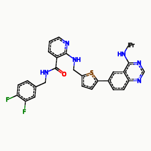 CC(C)Nc1ncnc2ccc(-c3ccc(CNc4ncccc4C(=O)NCc4ccc(F)c(F)c4)s3)cc12